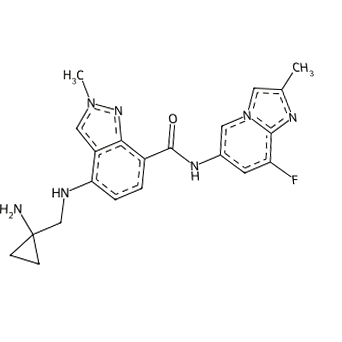 Cc1cn2cc(NC(=O)c3ccc(NCC4(N)CC4)c4cn(C)nc34)cc(F)c2n1